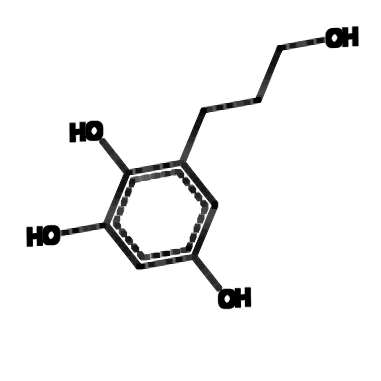 OCCCc1cc(O)cc(O)c1O